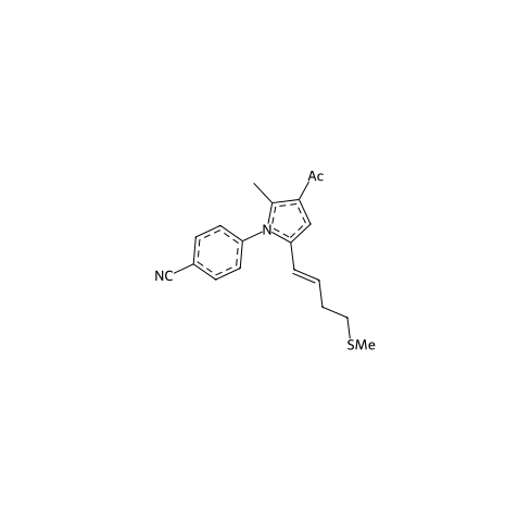 CSCC/C=C/c1cc(C(C)=O)c(C)n1-c1ccc(C#N)cc1